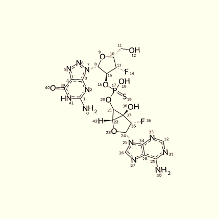 Nc1nc2c(nnn2[C@@H]2O[C@H](CO)[C@H](F)[C@H]2OP(O)(=S)OC2[C@H]3O[C@@H](n4cnc5c(N)ncnc54)[C@@H](F)[C@@]23O)c(=O)[nH]1